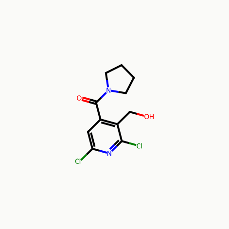 O=C(c1cc(Cl)nc(Cl)c1CO)N1CCCC1